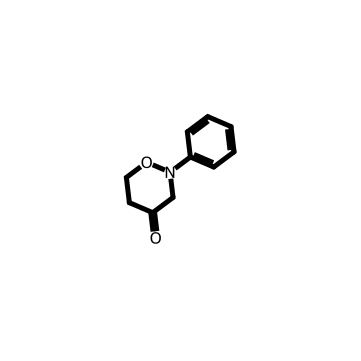 O=C1CCON(c2ccccc2)C1